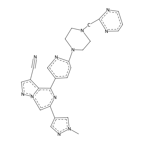 Cn1cc(-c2cn3ncc(C#N)c3c(-c3ccc(N4CCN(Cc5ncccn5)CC4)nc3)n2)cn1